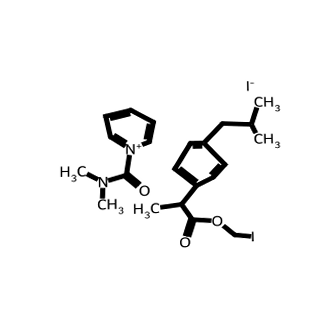 CC(C)Cc1ccc(C(C)C(=O)OCI)cc1.CN(C)C(=O)[n+]1ccccc1.[I-]